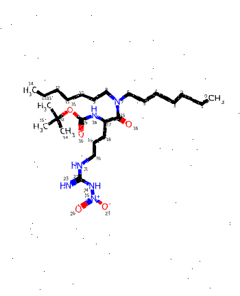 CCCCCCCN(CCCCCCC)C(=O)C(CCCNC(=N)N[N+](=O)[O-])NC(=O)OC(C)(C)C